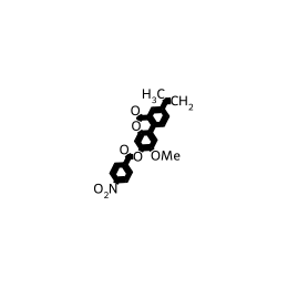 C=C(C)c1ccc2c(c1)c(=O)oc1cc(OC(=O)c3ccc([N+](=O)[O-])cc3)c(OC)cc12